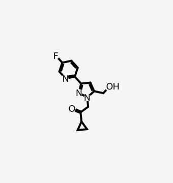 O=C(Cn1nc(-c2ccc(F)cn2)cc1CO)C1CC1